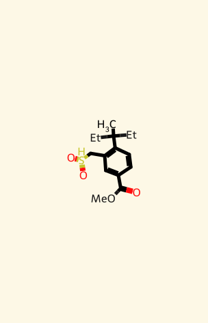 CCC(C)(CC)c1ccc(C(=O)OC)cc1C[SH](=O)=O